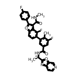 CNC(=O)c1c(-c2ccc(F)cc2)oc2ccc(-c3cc(C(=O)N[C@H](C)c4nc5ccncc5o4)cc(F)c3C)c(F)c12